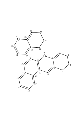 C1=C2CCCC=C2Oc2ccc3ccccc3c21.C1=COC2=CCCCC2=C1